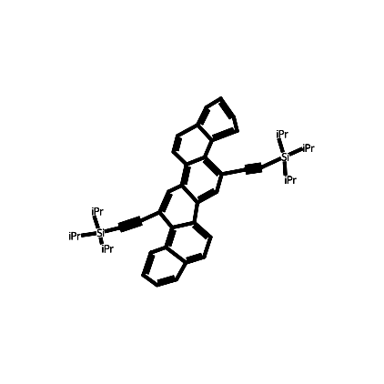 CC(C)[Si](C#Cc1cc2c(cc(C#C[Si](C(C)C)(C(C)C)C(C)C)c3c4ccccc4ccc23)c2ccc3ccccc3c12)(C(C)C)C(C)C